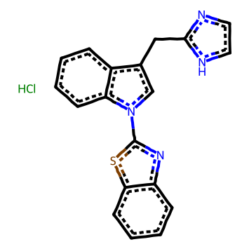 Cl.c1ccc2sc(-n3cc(Cc4ncc[nH]4)c4ccccc43)nc2c1